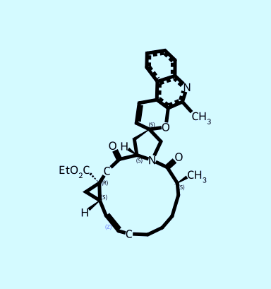 CCOC(=O)[C@]12CC(=O)[C@@H]3C[C@]4(C=Cc5c(c(C)nc6ccccc56)O4)CN3C(=O)[C@@H](C)CCCCC/C=C\[C@@H]1C2